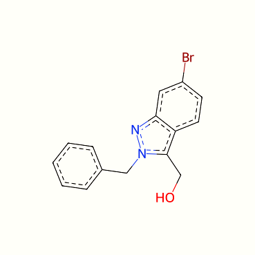 OCc1c2ccc(Br)cc2nn1Cc1ccccc1